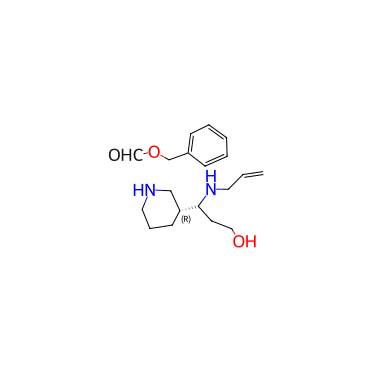 C=CCNC(CCO)[C@@H]1CCCNC1.O=COCc1ccccc1